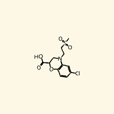 CS(=O)(=O)CCN1CC(C(=O)O)Oc2ccc(Cl)cc21